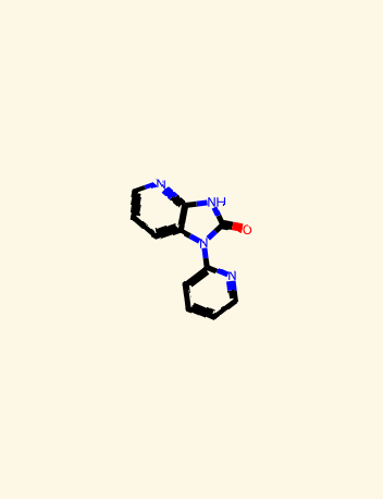 O=c1[nH]c2ncccc2n1-c1ccccn1